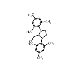 Cc1cc(C)c(N2CCN(c3c(C)cc(C)cc3C)C2CCl)c(C)c1